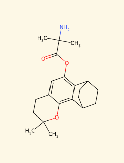 CC1(C)CCc2cc(OC(=O)C(C)(C)N)c3c(c2O1)C1CCC3CC1